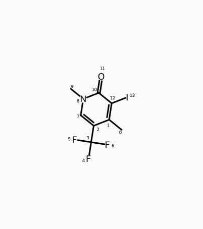 Cc1c(C(F)(F)F)cn(C)c(=O)c1I